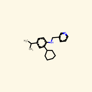 CC(C)c1ccc(NCc2cccnc2)c(C2CCCCC2)c1